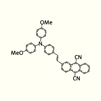 COc1ccc(N(c2ccc(C=Cc3ccc4c(C#N)c5ccccc5c(C#N)c4c3)cc2)c2ccc(OC)cc2)cc1